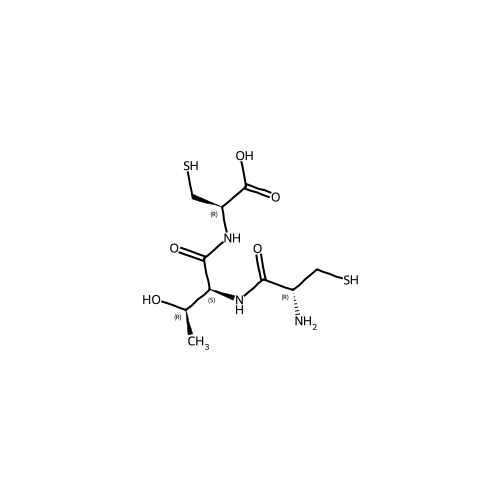 C[C@@H](O)[C@H](NC(=O)[C@@H](N)CS)C(=O)N[C@@H](CS)C(=O)O